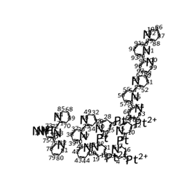 N.N.[Pt+2][c]1ccn[c]([Pt][c]2c[c]([Pt+2])ccn2)c1.[Pt+2][c]1ccn[c]([Pt][c]2c[c]([Pt+2])ccn2)c1.c1ccc(-c2cccc(-c3ccccn3)n2)nc1.c1ccc(-c2cccc(-c3ccccn3)n2)nc1.c1ccc(-c2cccc(-c3ccccn3)n2)nc1.c1ccc(-c2cccc(-c3ccccn3)n2)nc1